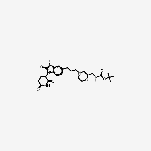 Cn1c(=O)n(C2CCC(=O)NC2=O)c2ccc(CCCN3CCO[C@H](CNC(=O)OC(C)(C)C)C3)cc21